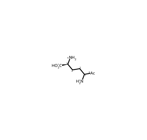 CC(=O)C(N)CC[C@H](N)C(=O)O